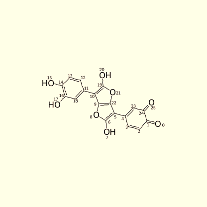 O=C1C=CC(c2c(O)oc3c(-c4ccc(O)c(O)c4)c(O)oc23)=CC1=O